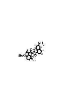 CCc1cnc(OCC(C)C)c(C2(C(=O)NS(=O)(=O)c3cccc4nc(N)ccc34)CC2)c1